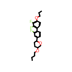 CCCCOC1CCC(c2ccc(-c3ccc(OCCC)c(F)c3F)c(F)c2)OC1